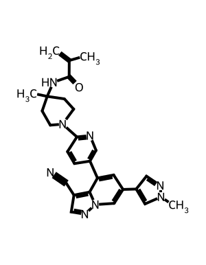 C=C(C)C(=O)NC1(C)CCN(c2ccc(-c3cc(-c4cnn(C)c4)cn4ncc(C#N)c34)cn2)CC1